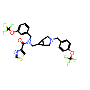 O=C(c1cscn1)N(Cc1cccc(OC(F)(F)F)c1)CC1C2CN(Cc3ccc(OC(F)(F)F)cc3)CC21